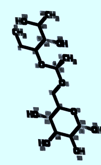 CCC(O[C@@H](C)OCC1O[C@H](O)C(O)C(O)[C@@H]1O)[C@@H](O)C(C)O